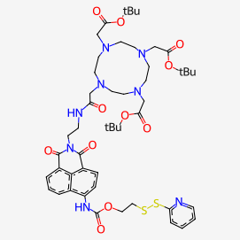 CC(C)(C)OC(=O)CN1CCN(CC(=O)NCCN2C(=O)c3cccc4c(NC(=O)OCCSSc5ccccn5)ccc(c34)C2=O)CCN(CC(=O)OC(C)(C)C)CCN(CC(=O)OC(C)(C)C)CC1